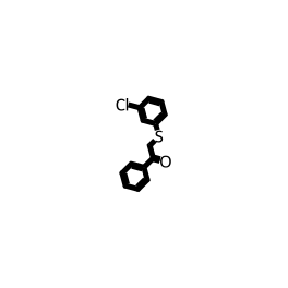 O=C(CSc1cccc(Cl)c1)c1ccccc1